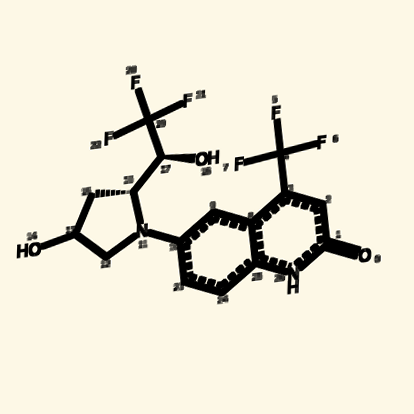 O=c1cc(C(F)(F)F)c2cc(N3CC(O)C[C@@H]3[C@H](O)C(F)(F)F)ccc2[nH]1